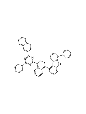 C1=CCC(c2nc(C3=c4ccccc4=C(c4cccc5oc6c(-c7ccccc7)cccc6c45)CC3)nc(-c3ccc4ccccc4c3)n2)C=C1